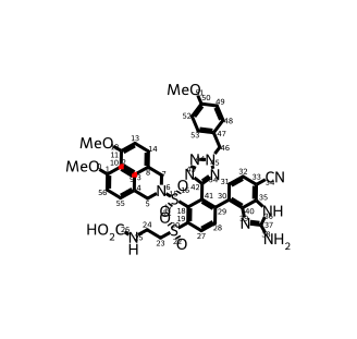 COc1ccc(CN(Cc2ccc(OC)cc2)S(=O)(=O)c2c(S(=O)(=O)CCNC(=O)O)ccc(-c3ccc(C#N)c4[nH]c(N)nc34)c2-c2nnn(Cc3ccc(OC)cc3)n2)cc1